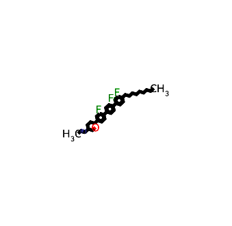 C/C=C/C1CCC(c2ccc(-c3ccc(-c4ccc(CCCCCCCCC)c(F)c4F)cc3)c(F)c2)OC1